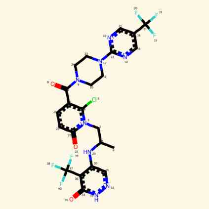 CC(Cn1c(Cl)c(C(=O)N2CCN(c3ncc(C(F)(F)F)cn3)CC2)ccc1=O)Nc1cn[nH]c(=O)c1C(F)(F)F